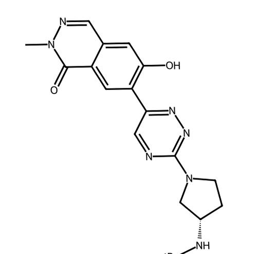 Cn1ncc2cc(O)c(-c3cnc(N4CC[C@H](NC(C)(C)C)C4)nn3)cc2c1=O